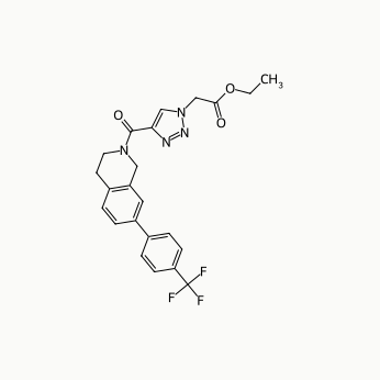 CCOC(=O)Cn1cc(C(=O)N2CCc3ccc(-c4ccc(C(F)(F)F)cc4)cc3C2)nn1